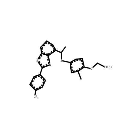 Cc1cc(SC(C)c2cccc3sc(-c4ccc(C(F)(F)F)cc4)nc23)ccc1OCC(=O)O